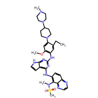 CCc1cc(Nc2nc(Nc3ccc4nccnc4c3N(C)S(C)(=O)=O)c3cc[nH]c3n2)c(OC)cc1N1CCC(N2CCN(C)CC2)CC1